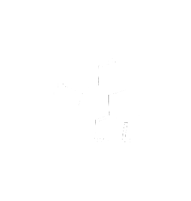 CCN/C(Br)=C(\C=N)C(O)/C(=C/NC)C(=N)I